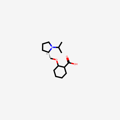 CC(C)N1CCC[C@H]1COC1CCCCC1C(=O)O